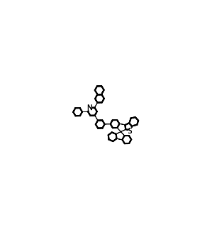 c1ccc(-c2cc(-c3cccc(-c4ccc5c(c4)C4(c6ccccc6-c6ccccc64)c4sc6ccccc6c4-5)c3)cc(-c3ccc4ccccc4c3)n2)cc1